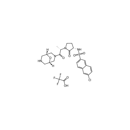 C[C@@H](C(=O)N1C[C@H]2CNC[C@@H](C1)O2)N1CC[C@H](NS(=O)(=O)c2ccc3cc(Cl)ccc3c2)C1=O.O=C(O)C(F)(F)F